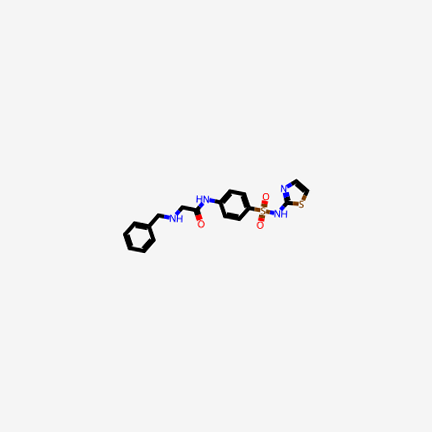 O=C(CNCc1ccccc1)Nc1ccc(S(=O)(=O)Nc2nccs2)cc1